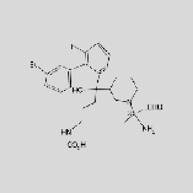 CCc1cccc(-c2c(F)cccc2C(O)(CCCNC(=O)O)C2CCCN([C@](C)(N)C=O)C2)c1